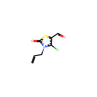 C=CCn1c(Cl)c(C=O)sc1=O